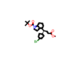 COC(=O)C=C[C@@H](c1ccc(Br)cc1)c1cccc2c1ccn2C(=O)OC(C)(C)C